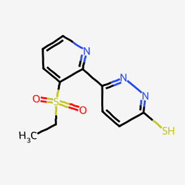 CCS(=O)(=O)c1cccnc1-c1ccc(S)nn1